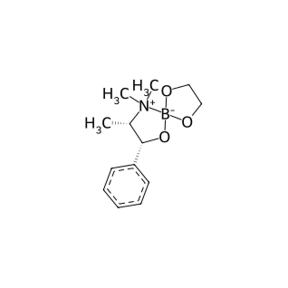 C[C@H]1[C@@H](c2ccccc2)O[B-]2(OCCO2)[N+]1(C)C